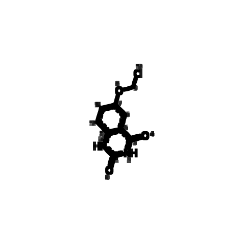 O=c1[nH]c(=O)c2cc(OCCl)ccc2[nH]1